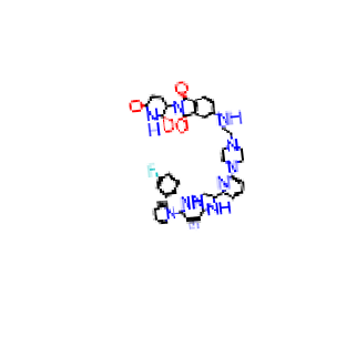 N=C(/C=C\C1=NCC(c2cccc(N3CCN(CCNc4ccc5c(c4)C(=O)N(C4CCC(=O)NC4=O)C5=O)CC3)n2)N1)N1CCC[C@@H]1c1cccc(F)c1